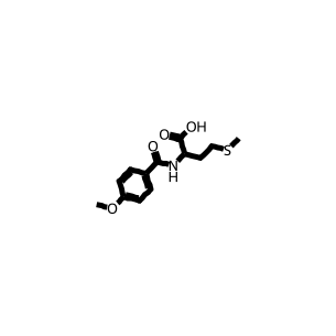 COc1ccc(C(=O)NC(CCSC)C(=O)O)cc1